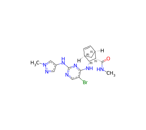 CNC(=O)[C@@H]1[C@H](Nc2nc(Nc3cnn(C)c3)ncc2Br)[C@H]2C=C[C@@H]1C2